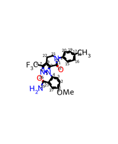 COc1ccc(-n2nc(C(F)(F)F)c3c2C(=O)N(c2ccc(C)cc2)CC3)c(C(N)=O)c1